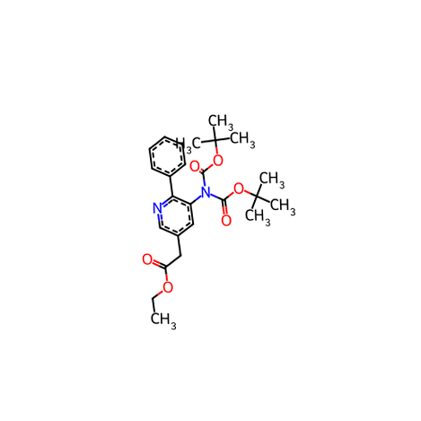 CCOC(=O)Cc1cnc(-c2ccccc2)c(N(C(=O)OC(C)(C)C)C(=O)OC(C)(C)C)c1